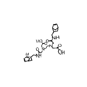 O=C(O)CN(CCN(CC(=O)O)CC(=O)NCC1CC2C=C[C@H]1C2)CC(=O)NCC1CC2C=CC1C2